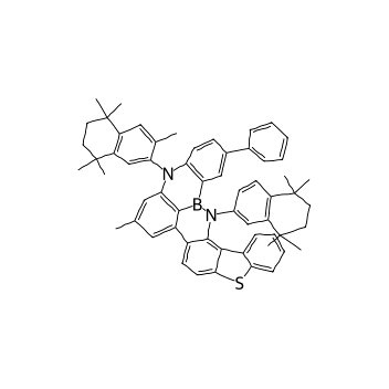 Cc1cc2c3c(c1)N(c1cc4c(cc1C)C(C)(C)CCC4(C)C)c1ccc(-c4ccccc4)cc1B3N(c1ccc3c(c1)C(C)(C)CCC3(C)C)c1c-2ccc2sc3ccccc3c12